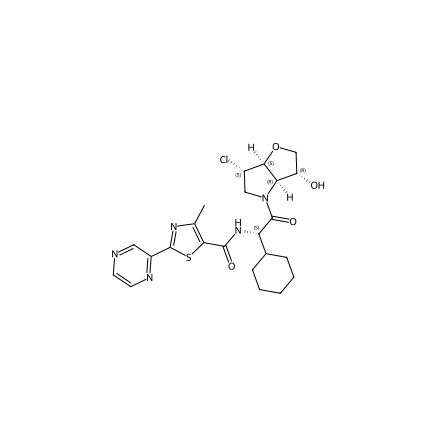 Cc1nc(-c2cnccn2)sc1C(=O)N[C@H](C(=O)N1C[C@H](Cl)[C@H]2OC[C@H](O)[C@H]21)C1CCCCC1